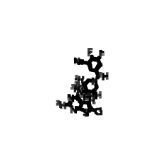 [2H]c1nc(N([2H])C2([2H])C([2H])([2H])CN(C([2H])c3cc(F)c(F)c(C#N)c3)CC2([2H])[2H])c2c([2H])c(Cl)sc2n1